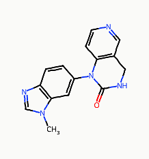 Cn1cnc2ccc(N3C(=O)NCc4cnccc43)cc21